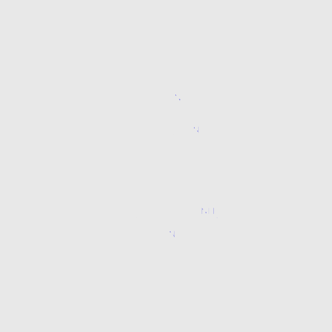 Cc1ncc(-c2ccc3c(I)cnc(N)c3c2F)n1C